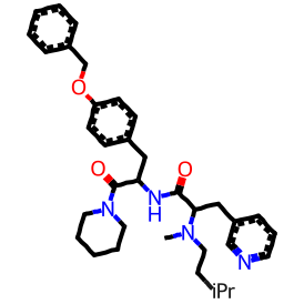 CC(C)CCN(C)C(Cc1cccnc1)C(=O)NC(Cc1ccc(OCc2ccccc2)cc1)C(=O)N1CCCCC1